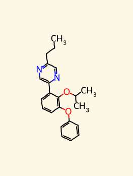 CCCc1cnc(-c2cccc(Oc3ccccc3)c2OC(C)C)cn1